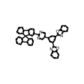 c1ccc2c(c1)-c1ccccc1C21c2ccccc2-c2ccc(-c3ncc(-c4cc(-c5nc6ccccc6o5)cc(-c5nc6ccccc6o5)c4)cn3)cc21